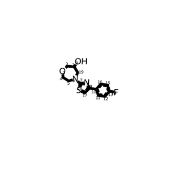 OC1COCCN(c2nc(-c3ccc(F)cc3)cs2)C1